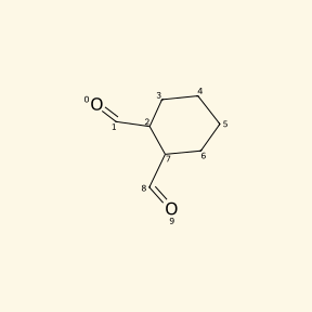 O=CC1CCCCC1C=O